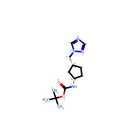 CC(C)(C)OC(=O)N[C@H]1CC[C@@H](Cn2cncn2)C1